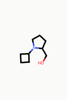 OCC1CCCN1C1CCC1